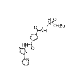 CC(C)(C)OC(=O)NCCNC(=O)c1ccc(C(=O)Nc2nc(-c3ccccn3)cs2)cc1